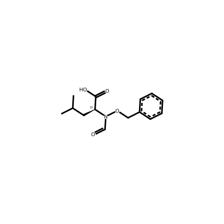 CC(C)C[C@@H](C(=O)O)N(C=O)OCc1ccccc1